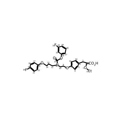 CCOC(Cc1ccc(OCCN(CCCOc2ccc(F)cc2)C(=O)Oc2cccc(F)c2)cc1)C(=O)O